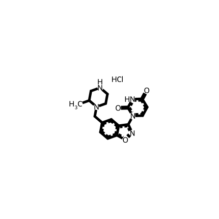 CC1CNCCN1Cc1ccc2onc(-n3ccc(=O)[nH]c3=O)c2c1.Cl